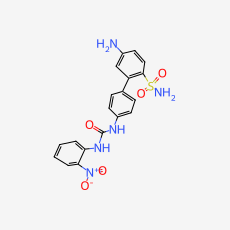 Nc1ccc(S(N)(=O)=O)c(-c2ccc(NC(=O)Nc3ccccc3[N+](=O)[O-])cc2)c1